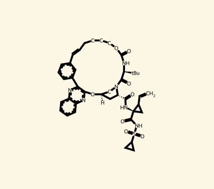 C=CC1C[C@]1(NC(=O)[C@@H]1C[C@@H]2CN1C(=O)[C@H](C(C)(C)C)NC(=O)OCCCC/C=C/c1cccc(c1)-c1nc3ccccc3nc1O2)C(=O)NS(=O)(=O)C1CC1